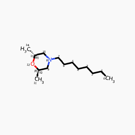 CCCCCCCCN1C[C@@H](C)O[C@H](C)C1